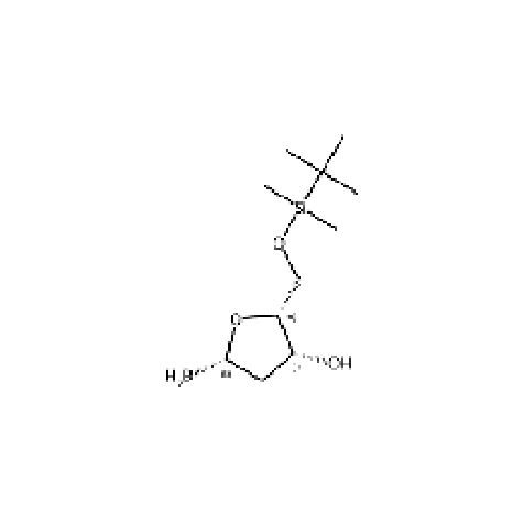 B[C@H]1C[C@@H](O)[C@@H](CO[Si](C)(C)C(C)(C)C)O1